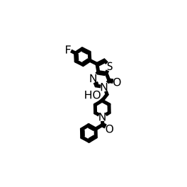 O=C(c1ccccc1)N1CCC(O)(Cn2cnc3c(-c4ccc(F)cc4)csc3c2=O)CC1